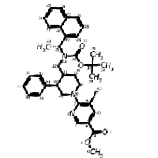 COC(=O)c1cnc(N2CCC(CN(C(=O)OC(C)(C)C)[C@H](C)c3cccc4ccccc34)C(c3ccccc3)C2)c(F)c1